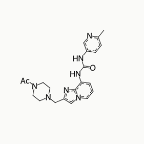 CC(=O)N1CCN(Cc2cn3cccc(NC(=O)Nc4ccc(C)nc4)c3n2)CC1